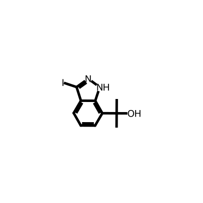 CC(C)(O)c1cccc2c(I)n[nH]c12